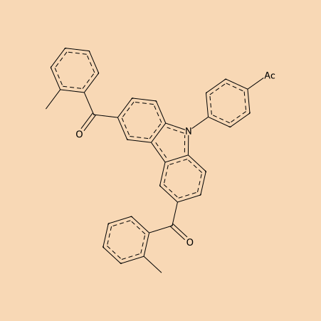 CC(=O)c1ccc(-n2c3ccc(C(=O)c4ccccc4C)cc3c3cc(C(=O)c4ccccc4C)ccc32)cc1